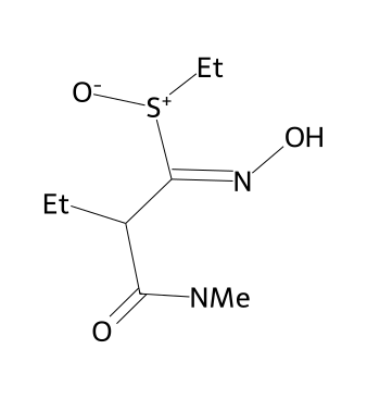 CCC(C(=O)NC)C(=NO)[S+]([O-])CC